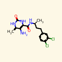 C=C1NC(=O)NC(C(=O)N[C@@H](C)CCc2ccc(Cl)c(Cl)c2)=C1N